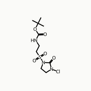 CC(C)(C)OC(=O)NCCS(=O)(=O)N1CCN(Cl)C1=O